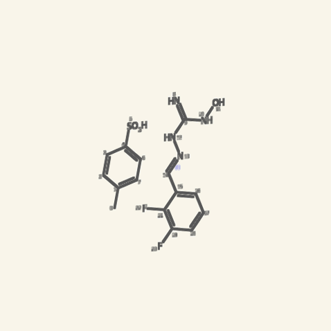 Cc1ccc(S(=O)(=O)O)cc1.N=C(NO)N/N=C/c1cccc(F)c1F